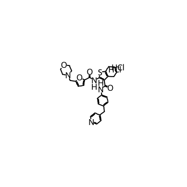 Cl.Cl.O=C(Nc1sc2c(c1C(=O)Nc1ccc(Cc3ccncc3)cc1)CCCC2)c1ccc(CN2CCOCC2)o1